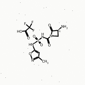 Cc1cc(NS(=O)(=O)NC(=O)N2C[C@H](N)C2=O)on1.O=C(O)C(F)(F)F